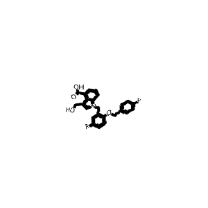 O=C(O)c1cccc2c1c(CO)cn2Cc1cc(F)ccc1OCc1ccc(F)cc1